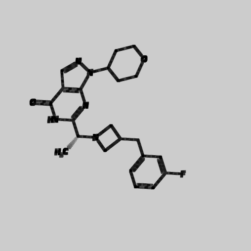 C[C@H](c1nc2c(cnn2C2CCOCC2)c(=O)[nH]1)N1CC(Cc2cccc(F)c2)C1